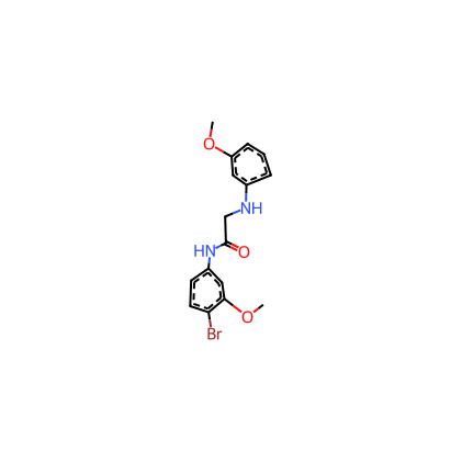 COc1cccc(NCC(=O)Nc2ccc(Br)c(OC)c2)c1